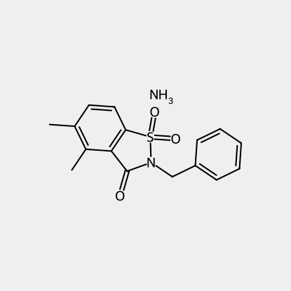 Cc1ccc2c(c1C)C(=O)N(Cc1ccccc1)S2(=O)=O.N